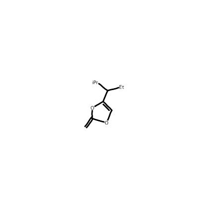 C=C1OC=C(C(CC)C(C)C)O1